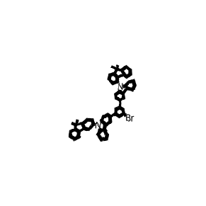 CC1(C)c2ccccc2-c2cc(-n3c4ccccc4c4cc(-c5cc(Br)cc(-c6ccc7c(c6)c6ccccc6n7-c6cccc7c6-c6ccccc6C7(C)C)c5)ccc43)ccc21